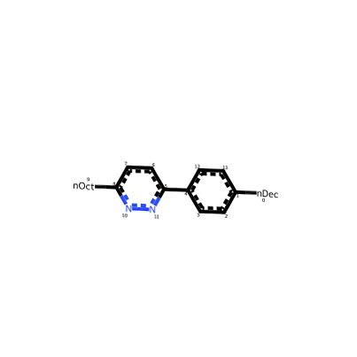 CCCCCCCCCCc1ccc(-c2ccc(CCCCCCCC)nn2)cc1